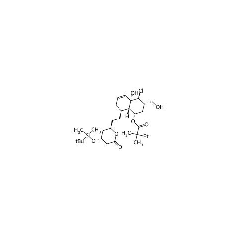 CCC(C)(C)C(=O)O[C@H]1C[C@@H](CO)[C@H](Cl)[C@]2(O)C=CC[C@H](CC[C@@H]3C[C@@H](O[Si](C)(C)C(C)(C)C)CC(=O)O3)[C@@H]12